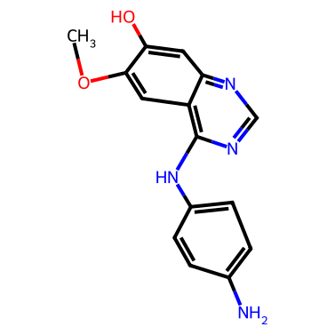 COc1cc2c(Nc3ccc(N)cc3)ncnc2cc1O